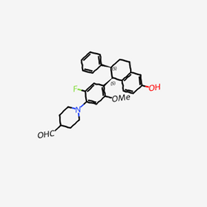 COc1cc(N2CCC(C=O)CC2)c(F)cc1[C@@H]1c2ccc(O)cc2CC[C@@H]1c1ccccc1